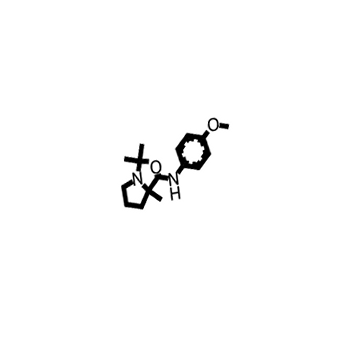 COc1ccc(NC(=O)C2(C)CCCN2C(C)(C)C)cc1